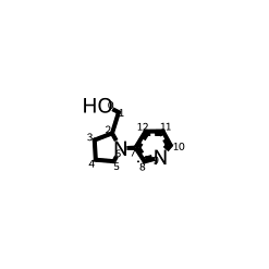 OCC1CCCN1c1[c]nccc1